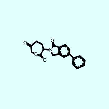 O=C1CCC(=O)C(N2Cc3cc(-c4ccccc4)ccc3C2=O)CC1